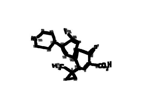 CC1(n2cc(C(=O)O)c(=O)c3cc(F)c(N4CCNCC4)cc32)CC1